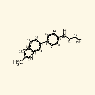 Cc1nc2cc(-c3ccc(NCCF)cc3)ccc2s1